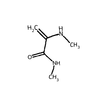 C=C(NC)C(=O)NC